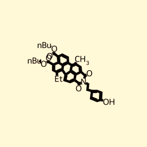 CCCCOC(=O)c1ccc2c3c(C)cc4c5c(ccc(c6c(CC)cc(C(=O)OCCCC)c1c26)c53)C(=O)N(CCc1ccc(O)cc1)C4=O